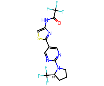 O=C(Nc1csc(-c2cnc(N3CCC[C@H]3C(F)(F)F)nc2)n1)C(F)(F)F